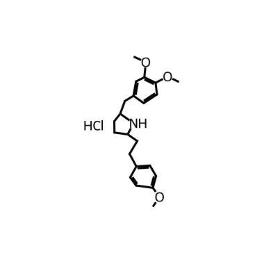 COc1ccc(CCC2CCC(Cc3ccc(OC)c(OC)c3)N2)cc1.Cl